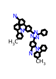 Cc1ccc2c(c1)c1ccccc1n2-c1cc(-c2nc(-c3ccccc3)nc(-c3ccc(-c4ccc(C#N)cc4)c(-n4c5ccccc5c5cc(C)ccc54)c3)n2)ccc1C#N